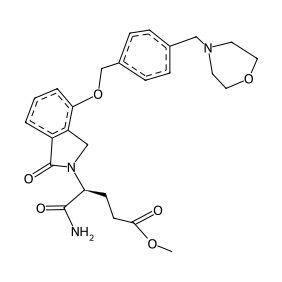 COC(=O)CC[C@@H](C(N)=O)N1Cc2c(OCc3ccc(CN4CCOCC4)cc3)cccc2C1=O